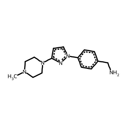 CN1CCN(c2ccn(-c3ccc(CN)cc3)n2)CC1